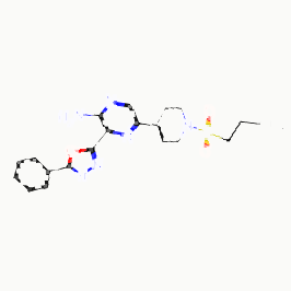 CCCS(=O)(=O)N1CC=C(c2cnc(N)c(-c3nnc(-c4ccccc4)o3)n2)CC1